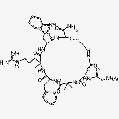 CC(=O)NCC(=O)NC1CC(=O)NCCCCC(C(N)=O)NC(=O)[C@H](Cc2c[nH]c3ccccc23)NC(=O)C(C)(CCCNC(=N)N)NC(=O)C(Cc2ccccc2)NC(=O)C(C)(C)NC1=O